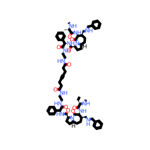 CC[C@H](NC)C(=O)N[C@@H]1C(=O)N2[C@@H](CC[C@@H]1CNCc1ccccc1)CC[C@H]2C(=O)N[C@H](C(=O)NCCNC(=O)CCC#CCCC(=O)NCCNC(=O)[C@@H](NC(=O)[C@@H]1CC[C@@H]2CC[C@H](CNCc3ccccc3)[C@H](NC(=O)[C@H](C)NC)C(=O)N21)c1ccccc1)c1ccccc1